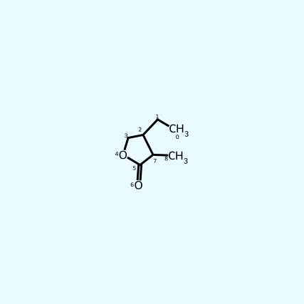 CCC1COC(=O)C1C